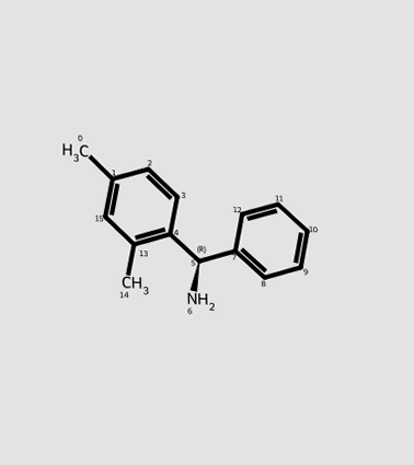 Cc1ccc([C@H](N)c2ccccc2)c(C)c1